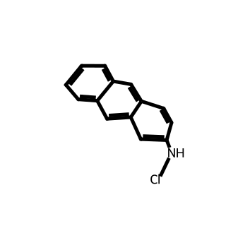 ClNc1ccc2cc3ccccc3cc2c1